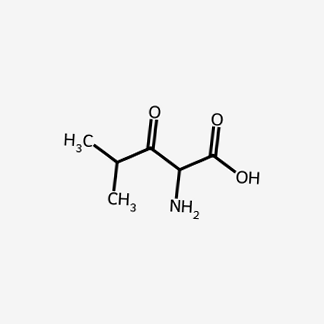 CC(C)C(=O)C(N)C(=O)O